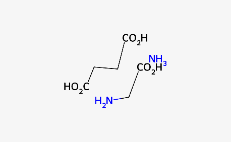 N.NCC(=O)O.O=C(O)CCC(=O)O